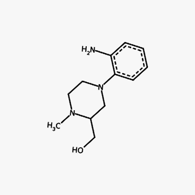 CN1CCN(c2ccccc2N)CC1CO